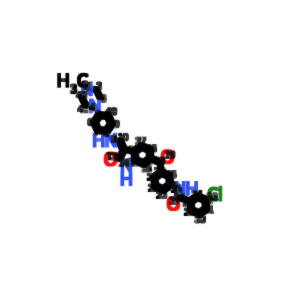 CN1CCN(c2ccc(NC=C3C(=O)Nc4cc(C(=O)c5cccc(NC(=O)c6cccc(Cl)c6)c5)ccc43)cc2)CC1